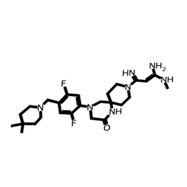 CN/C(N)=C/C(=N)N1CCC2(CC1)CN(c1cc(F)c(CN3CCC(C)(C)CC3)cc1F)CC(=O)N2